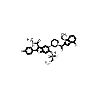 CCn1c(C(=O)N2CCC[C@H](c3cc4c(C(=O)NC)c(-c5ccc(F)cc5)oc4cc3NS(=O)(=O)CC)C2)cc2c(F)cccc21